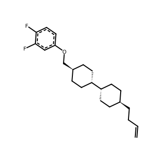 C=CCC[C@H]1CC[C@H]([C@H]2CC[C@H](COc3ccc(F)c(F)c3)CC2)CC1